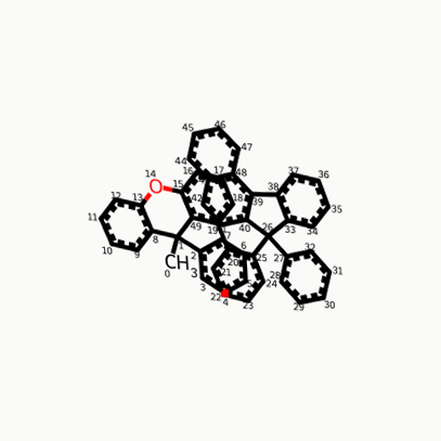 CC1(c2ccccc2)c2ccccc2Oc2cccc(-c3ccccc3C3(c4ccccc4)c4ccccc4-c4c3ccc3ccccc43)c21